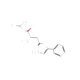 C=C(C[C@H](N)C(=O)OC(CC)CC)O/C(=C\N)c1ccccc1